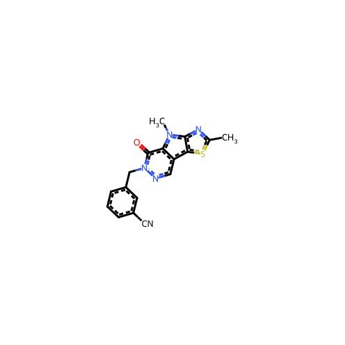 Cc1nc2c(s1)c1cnn(Cc3cccc(C#N)c3)c(=O)c1n2C